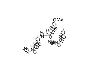 COc1ccc(S(=O)(=O)c2ccc(C(=O)NCc3cnccn3)o2)cc1.Cc1ccc(S(=O)(=O)c2ccc(C(=O)NCc3ccn(C)n3)o2)cc1.Cc1ccc(S(=O)(=O)c2ccc(C(=O)NCc3cnc(C)cn3)o2)cc1